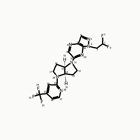 FC(F)Cn1ncc2ncc(N3CC[C@@H]4[C@H]3CCN4c3cc(C(F)(F)F)ccn3)nc21